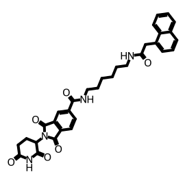 O=C(Cc1cccc2ccccc12)NCCCCCCNC(=O)c1ccc2c(c1)C(=O)N(C1CCC(=O)NC1=O)C2=O